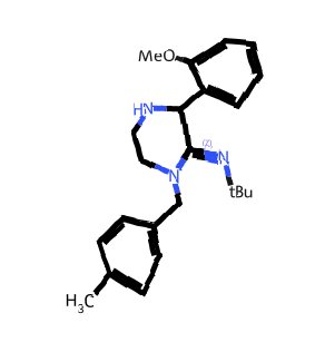 COc1ccccc1C1NCCN(Cc2ccc(C)cc2)/C1=N\C(C)(C)C